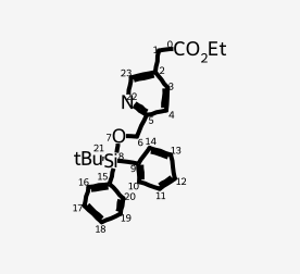 CCOC(=O)Cc1ccc(CO[Si](c2ccccc2)(c2ccccc2)C(C)(C)C)nc1